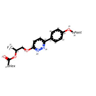 CCCCCCC(=O)OC(COc1ccc(-c2ccc(OCCCCC)cc2)nn1)C(F)(F)F